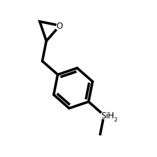 C[SiH2]c1ccc(CC2CO2)cc1